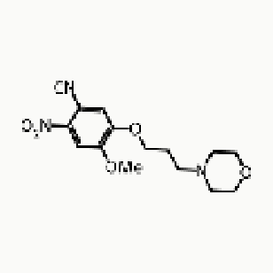 [C-]#[N+]c1cc(OCCCN2CCOCC2)c(OC)cc1[N+](=O)[O-]